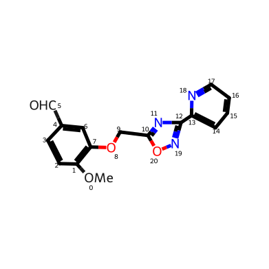 COc1ccc(C=O)cc1OCc1nc(-c2ccccn2)no1